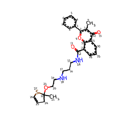 Cc1c(-c2ccccc2)oc2c(C(=O)NCCCNCCOC3(C)CC=CS3)cccc2c1=O